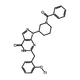 CCOc1ccccc1Cc1nc2c(cnn2C2CCCN(C(=O)c3ccccc3)C2)c(=O)[nH]1